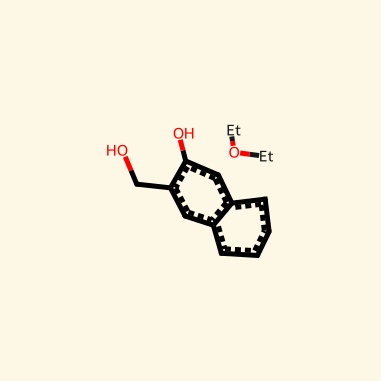 CCOCC.OCc1cc2ccccc2cc1O